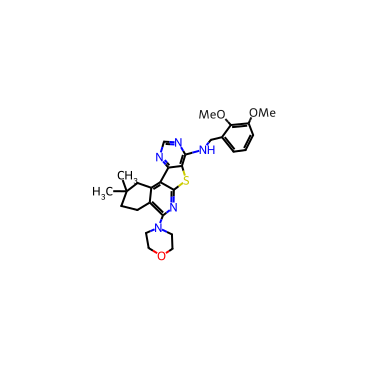 COc1cccc(CNc2ncnc3c2sc2nc(N4CCOCC4)c4c(c23)CC(C)(C)CC4)c1OC